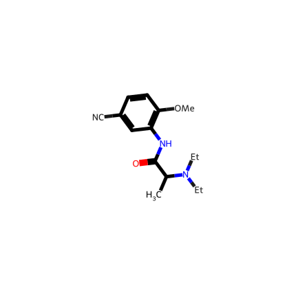 CCN(CC)C(C)C(=O)Nc1cc(C#N)ccc1OC